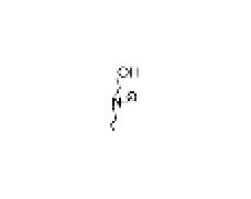 CCCCN(C=O)CCCO